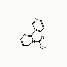 O=C(O)N1CC=CC=C1c1cccnc1